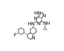 Fc1cccc(-c2ccnc3ccc(Nc4nc(NC5CC5)c5nc[nH]c5n4)cc23)c1